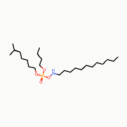 CCCCCCCCCCCCNOP(=O)(OCCCC)OCCCCCC(C)C